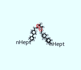 CCCCCCCc1ccc(C2CCC(CCOC(C)C(C)OCC[C@H]3CC[C@H](c4ccc(CCCCCCC)cc4)CC3)CC2)cc1